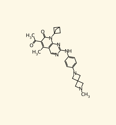 CC(=O)c1c(C)c2cnc(Nc3ccc(N4CC5(CN(C)C5)C4)cc3)nc2n(C23CC(C2)C3)c1=O